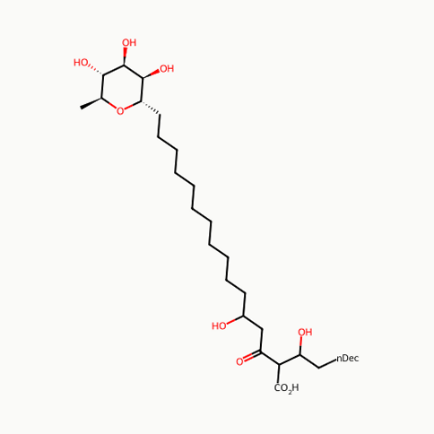 CCCCCCCCCCCC(O)C(C(=O)O)C(=O)CC(O)CCCCCCCCCCC[C@@H]1O[C@@H](C)[C@H](O)[C@@H](O)[C@H]1O